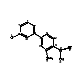 CSc1cc(-c2cccc(Cl)c2)ccc1B(O)O